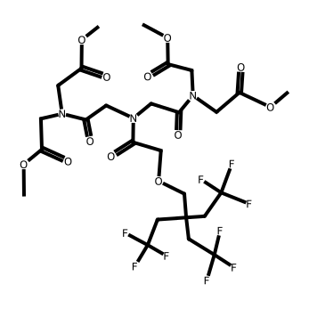 COC(=O)CN(CC(=O)OC)C(=O)CN(CC(=O)N(CC(=O)OC)CC(=O)OC)C(=O)COCC(CC(F)(F)F)(CC(F)(F)F)CC(F)(F)F